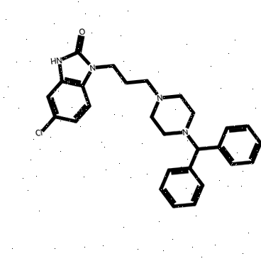 O=c1[nH]c2cc(Cl)ccc2n1CCCN1CCN(C(c2ccccc2)c2ccccc2)CC1